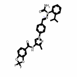 Cc1nn(-c2ccc(/C=N/N(C(N)=O)c3ccccc3C(C)C)cc2)cc1NC(=O)c1ccc2c(c1)OC(F)(F)O2